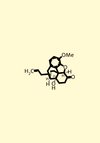 C=CCN1CCC23c4c5ccc(OC)c4O[C@H]2C(=O)CC[C@@]3(O)[C@H]1C5